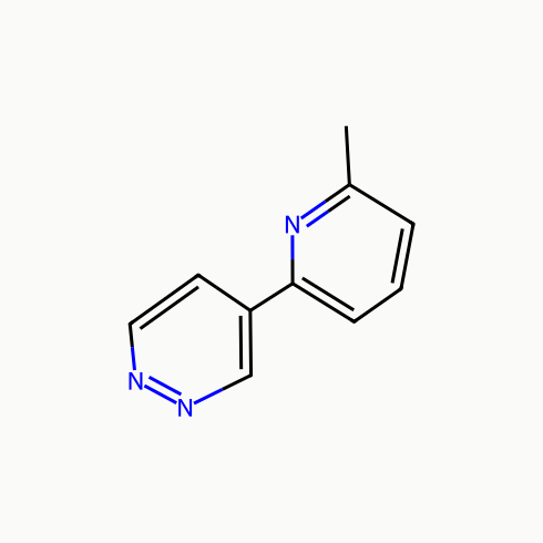 Cc1cccc(-c2ccnnc2)n1